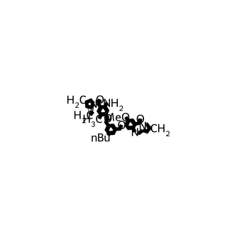 C=C[C@@H]1CC(=C)CN1C(=O)c1cc(C)c(OCc2cc(CCCC)cc(COc3cc4c(cc3OC)C(=O)N3CC(=C)CC3C=N4)c2)cc1N